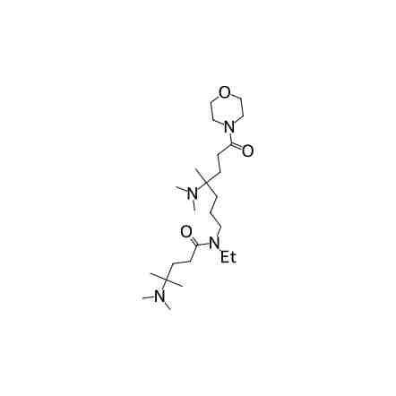 CCN(CCCC(C)(CCC(=O)N1CCOCC1)N(C)C)C(=O)CCC(C)(C)N(C)C